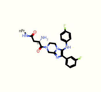 CCCNC(=O)C[C@H](N)C(=O)N1CCn2c(nc(-c3cccc(F)c3)c2Nc2ccc(F)cc2)C1